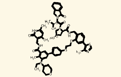 CCN(c1cc(-c2ccc(OCCOc3cc(-c4scnc4C)ccc3CNC(=O)C3C[C@@H](O)CN3C(=O)[C@H](C(C)C)N3Cc4ccccc4C3=O)cc2)cc(C(=O)NCc2c(C)cc(C)[nH]c2=O)c1C)C1CCOCC1